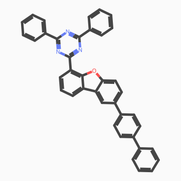 c1ccc(-c2ccc(-c3ccc4oc5c(-c6nc(-c7ccccc7)nc(-c7ccccc7)n6)cccc5c4c3)cc2)cc1